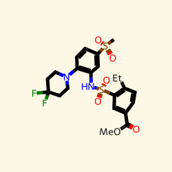 CCc1ccc(C(=O)OC)cc1S(=O)(=O)Nc1cc(S(C)(=O)=O)ccc1N1CCC(F)(F)CC1